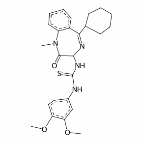 COc1ccc(NC(=S)NC2N=C(C3CCCCC3)c3ccccc3N(C)C2=O)cc1OC